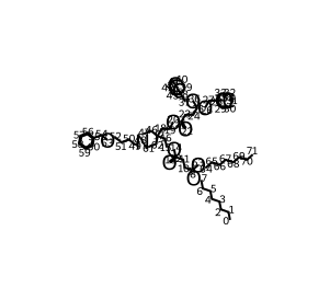 CCCCCCCCOC(CCC(=O)OCCC1(CCOC(=O)CCC(OCC23CCC(CC2)CC3)OCC23CCC(CC2)CC3)CCN(CCCCOCc2ccccc2)CC1)OCCCCCCCC